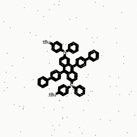 CC(C)(C)c1ccc(N(C2=CCCC=C2)c2ccc3c(-c4ccc(-c5ccccc5)cc4)c4cc(N(c5ccccc5)c5ccc(C(C)(C)C)cc5)ccc4c(-c4ccc(-c5ccccc5)cc4)c3c2)cc1